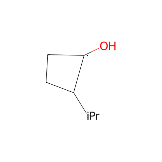 CC(C)C1CC[C]1O